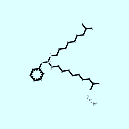 CC(C)CCCCCCCOP(OCCCCCCCC(C)C)Oc1ccccc1.[Cl-].[Cl-].[Zn+2]